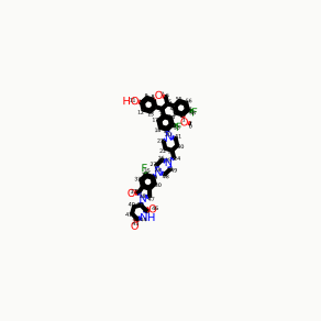 COc1cc(C2COc3cc(O)ccc3C2c2ccc(N3CCC(CN4CCN(c5cc6c(cc5F)C(=O)N(C5CCC(=O)NC5=O)C6)CC4)CC3)c(F)c2)ccc1F